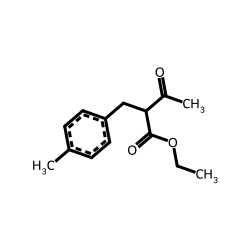 CCOC(=O)C(Cc1ccc(C)cc1)C(C)=O